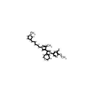 COc1ncc(-n2nc(-c3cn(CCCCCC4CCN(C)C4)nc3C)c3c2CCOCC3)cc1F